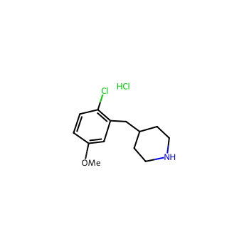 COc1ccc(Cl)c(CC2CCNCC2)c1.Cl